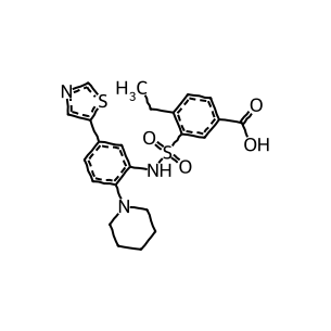 CCc1ccc(C(=O)O)cc1S(=O)(=O)Nc1cc(-c2cncs2)ccc1N1CCCCC1